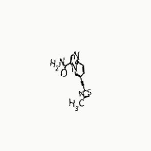 Cc1csc(C#Cc2ccc3ncc(C(N)=O)n3c2)n1